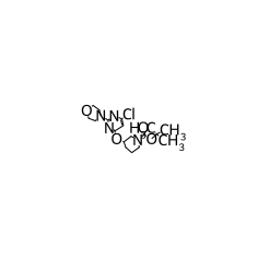 CC(C)(C)OC(=O)N1CCC[C@H](Oc2cc(Cl)nc(N3CCOCC3)n2)C1